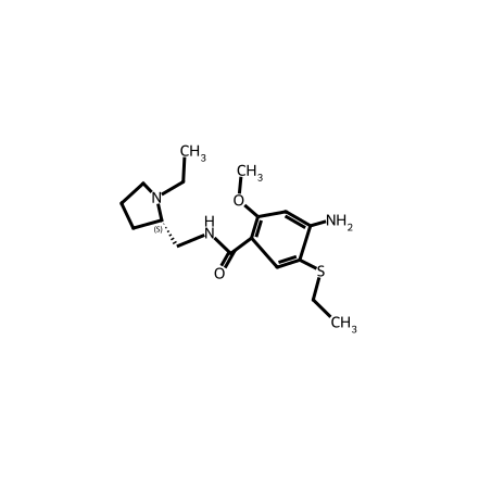 CCSc1cc(C(=O)NC[C@@H]2CCCN2CC)c(OC)cc1N